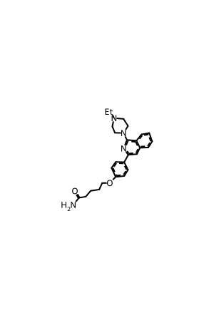 CCN1CCN(c2nc(-c3ccc(OCCCCC(N)=O)cc3)cc3ccccc23)CC1